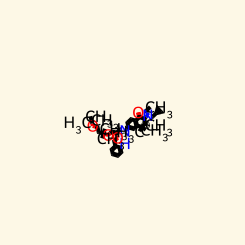 CCN(CC1CC1)C1C(=O)c2ccc(NCC(COC(C)(C)CCOC(C)(C)C)OCc3ccccc3)cc2C(C)(C)[C@H]1C